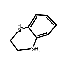 c1ccc2c(c1)[SiH2]CC[SiH2]2